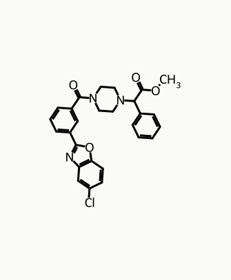 COC(=O)C(c1ccccc1)N1CCN(C(=O)c2cccc(-c3nc4cc(Cl)ccc4o3)c2)CC1